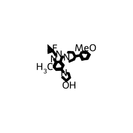 COc1ccccc1C1CCN(c2nc(C3(F)CC3)nc3c(C)cc(N4CC[C@H](O)C4)cc23)CC1